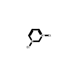 CCN1C=CC=[N+](CC)C1